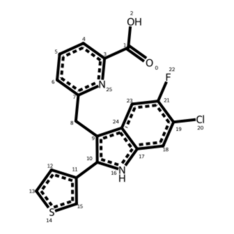 O=C(O)c1cccc(Cc2c(-c3ccsc3)[nH]c3cc(Cl)c(F)cc23)n1